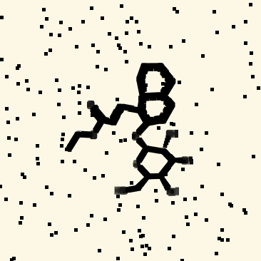 CCOC(=O)C=Cc1c(O[C@@H]2O[C@H](CO)[C@H](O)[C@H](O)[C@H]2O)ccc2ccccc12